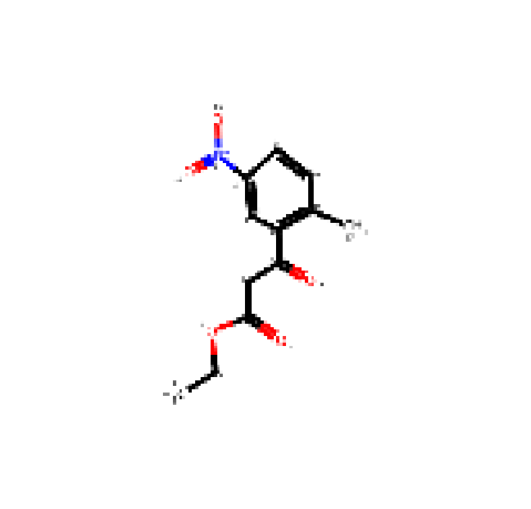 CCOC(=O)CC(=O)c1cc([N+](=O)[O-])ccc1C